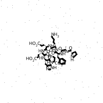 CC(C)C[C@H](NC(=O)[C@H](Cc1c[nH]cn1)NC(=O)[C@H](CCC(=O)O)NC(=O)[C@H](CCC(=O)O)NC(=O)[C@H](CCCCN)NC(=O)[C@H](Cc1ccccc1)NC(=O)[C@H](C)NC(=O)[C@@H]1CCCN1)C(=O)O